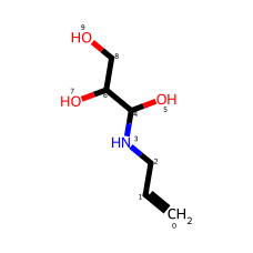 C=CCNC(O)C(O)CO